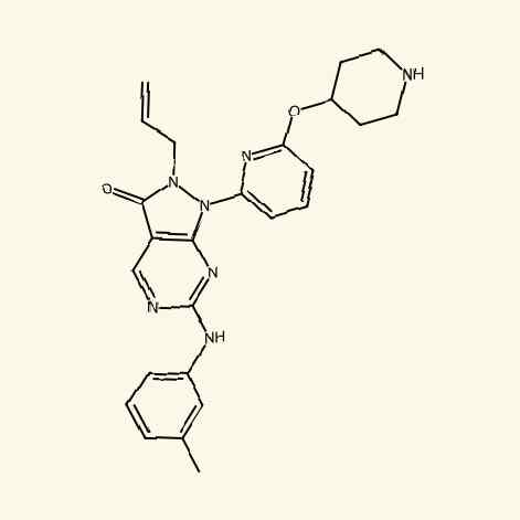 C=CCn1c(=O)c2cnc(Nc3cccc(C)c3)nc2n1-c1cccc(OC2CCNCC2)n1